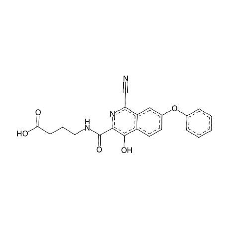 N#Cc1nc(C(=O)NCCCC(=O)O)c(O)c2ccc(Oc3ccccc3)cc12